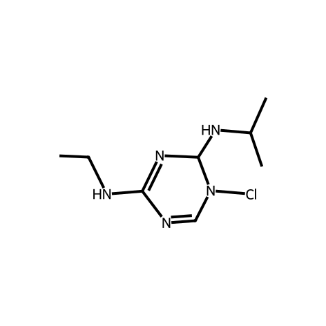 CCNC1=NC(NC(C)C)N(Cl)C=N1